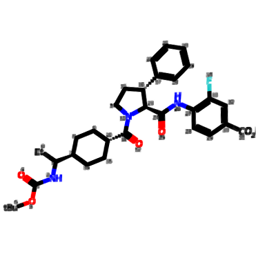 CCC(NC(=O)OC(C)(C)C)[C@H]1CC[C@H](C(=O)N2CC[C@H](c3ccccc3)[C@H]2C(=O)Nc2ccc(C(=O)O)cc2F)CC1